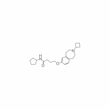 O=C(CCCOc1ccc2c(c1)CCN(C1CCC1)CC2)NC1CCCC1